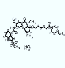 COc1cc(C(=O)N(C)c2ccc(C)cc2OCCCCCC(=O)N2CCN(C)CC2)ccc1NC(=O)c1cccc2[nH]c(S(C)(=O)=O)nc12.Cl.Cl